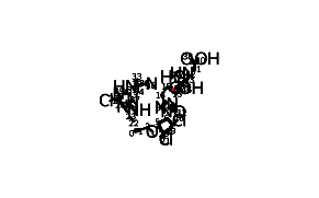 C#CCOc1cc(-n2nc3n(c2=O)CCCC3)c(Cl)cc1Cl.CCNc1nc(Cl)nc(NC(C)(C)C#N)n1.O=C(O)CNCP(=O)(O)O